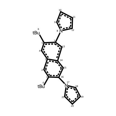 CC(C)(C)c1cc2cc(C(C)(C)C)c(-n3cccc3)cc2cc1-n1cccc1